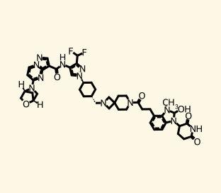 CN1c2c(CCC(=O)N3CCC4(CC3)CN(C[C@H]3CC[C@H](n5cc(NC(=O)c6cnn7ccc(N8C[C@H]9C[C@@H]8CO9)nc67)c(C(F)F)n5)CC3)C4)cccc2N(C2CCC(=O)NC2=O)C1O